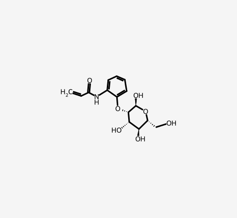 C=CC(=O)Nc1ccccc1O[C@H]1[C@@H](O)[C@H](O)[C@@H](CO)O[C@@H]1O